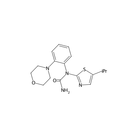 CC(C)c1cnc(N(C(N)=O)c2ccccc2N2CCOCC2)s1